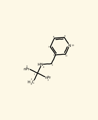 CCCC(C)(CCC)NCc1cccnc1